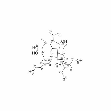 CCC(CCC(C)CO)(C(O)CC(C)C)C(CCCCCO)(CCC(C)CO)C(O)(CCCCCO)CCC(C)CO